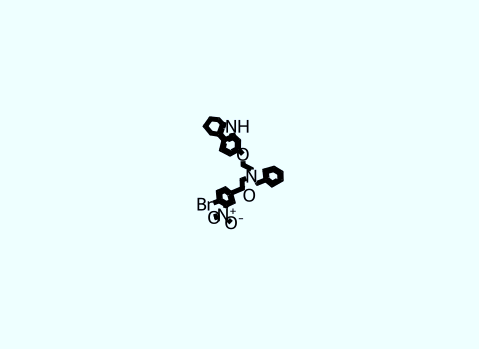 O=C(CN(CCOc1ccc2c3c([nH]c2c1)CCCC3)Cc1ccccc1)c1ccc(Br)c([N+](=O)[O-])c1